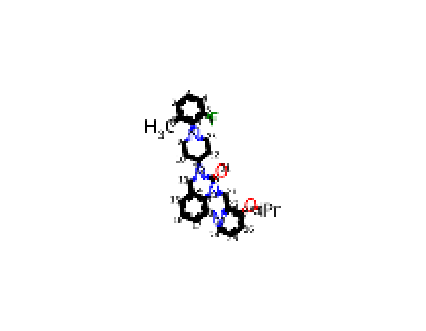 Cc1cccc(F)c1N1CCC(N2Cc3ccccc3N(Cc3ncccc3OC(C)C)C2=O)CC1